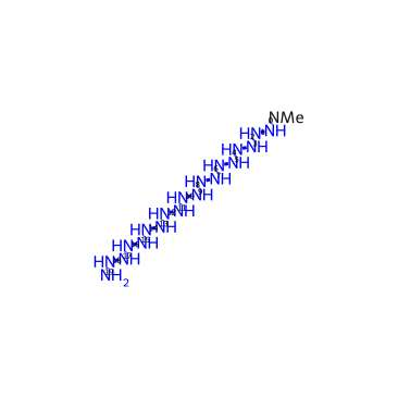 CNNNNNNNNNNNNNNNNNNNN